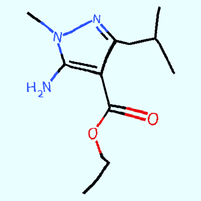 CCOC(=O)c1c(C(C)C)nn(C)c1N